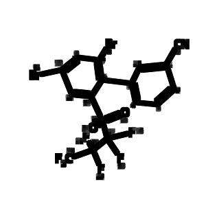 N#Cc1cccc(-c2c(Br)[c]c(Br)cc2S(=O)(=O)C(F)(F)C(F)(F)C(F)(F)F)c1